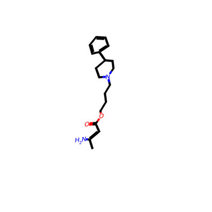 C/C(N)=C/C(=O)OCCCCN1CCC(c2ccccc2)CC1